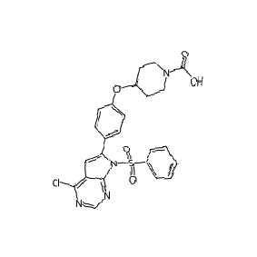 O=C(O)N1CCC(Oc2ccc(-c3cc4c(Cl)ncnc4n3S(=O)(=O)c3ccccc3)cc2)CC1